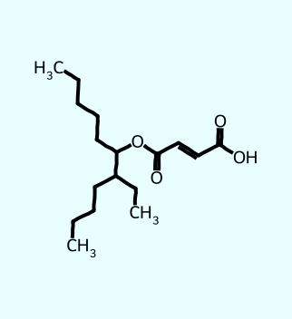 CCCCCC(OC(=O)C=CC(=O)O)C(CC)CCCC